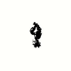 COc1ccc(Cn2nc(N[C@@H]3CCN(C(=O)C=CCN(C)C4CC4)C3)c3c(Oc4ccc(C(=O)Nc5cc(C(C)C)ccn5)cc4)ccnc32)cc1